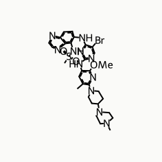 COc1nc(N2CCC(N3CCN(C)CC3)CC2)c(C)cc1Nc1ncc(Br)c(Nc2ccc3nccnc3c2NS(C)(=O)=O)n1